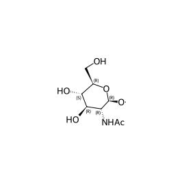 CC(=O)N[C@@H]1[C@@H](O)[C@H](O)[C@@H](CO)O[C@H]1[O]